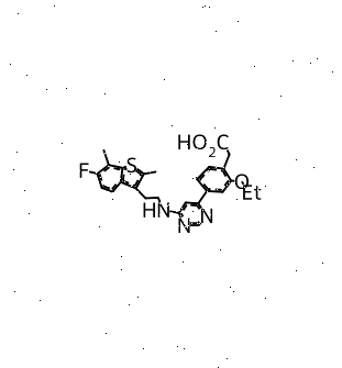 CCOc1cc(-c2cc(NCCc3c(C)sc4c(C)c(F)ccc34)ncn2)ccc1CC(=O)O